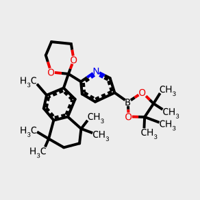 Cc1cc2c(cc1C1(c3ccc(B4OC(C)(C)C(C)(C)O4)cn3)OCCCO1)C(C)(C)CCC2(C)C